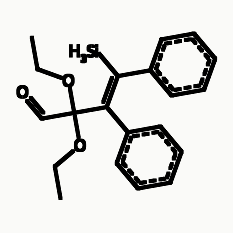 CCOC(C=O)(OCC)C(=C([SiH3])c1ccccc1)c1ccccc1